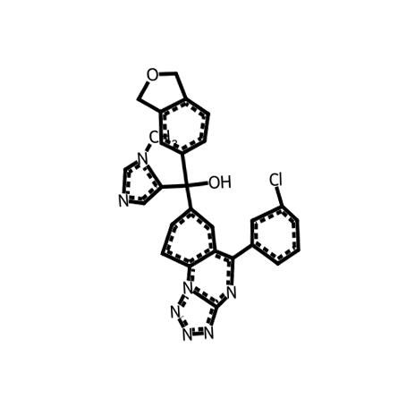 Cn1cncc1C(O)(c1ccc2c(c1)COC2)c1ccc2c(c1)c(-c1cccc(Cl)c1)nc1nnnn12